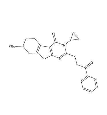 CCCCC1CCC2=C(Cc3nc(CCC(=O)c4ccccc4)n(C4CC4)c(=O)c32)C1